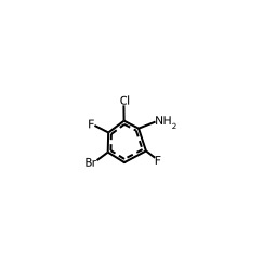 Nc1c(F)cc(Br)c(F)c1Cl